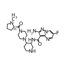 CN1CCC[C@@H]1C(=O)N1CCN(C2CCNCC2NC(=O)c2c(N)nn3cc(F)cnc23)CC1